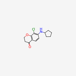 O=C1CCOc2c1ccc(NC1CCCC1)c2Cl